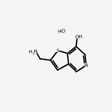 Cl.NCc1cc2cncc(O)c2s1